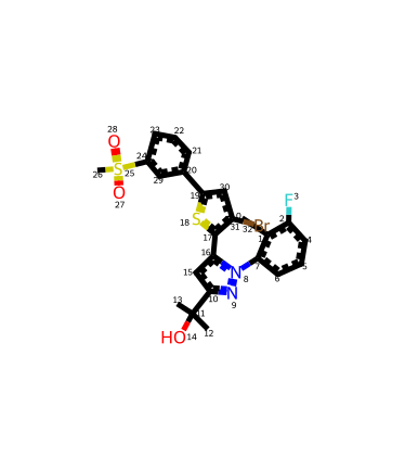 Cc1c(F)cccc1-n1nc(C(C)(C)O)cc1-c1sc(-c2cccc(S(C)(=O)=O)c2)cc1Br